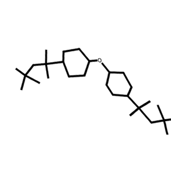 CC(C)(C)CC(C)(C)C1CCC(OC2CCC(C(C)(C)CC(C)(C)C)CC2)CC1